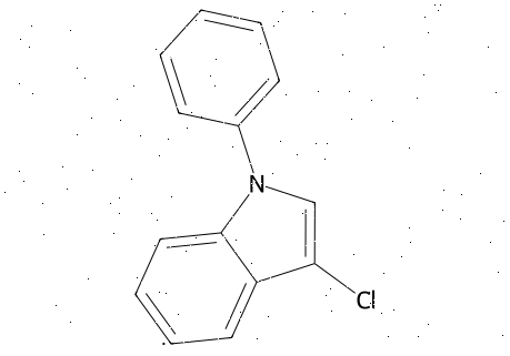 Clc1cn(-c2ccccc2)c2cc[c]cc12